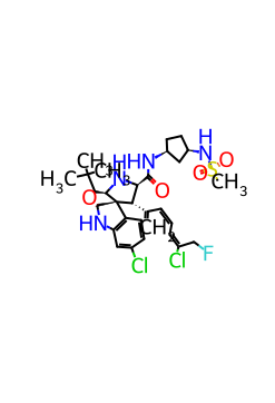 C=C(/C=C\C=C(\Cl)CF)[C@H]1[C@H](C(=O)N[C@H]2CC[C@@H](NS(C)(=O)=O)C2)N[C@H](CC(C)(C)C)[C@]12C(=O)Nc1cc(Cl)ccc12